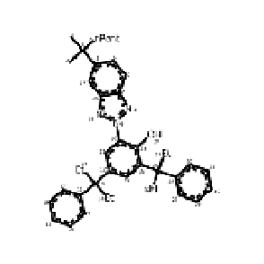 CCCCCC(C)(C)c1ccc2nn(-c3cc(C(CC)(CC)c4ccccc4)cc(C(CC)(CC)c4ccccc4)c3O)nc2c1